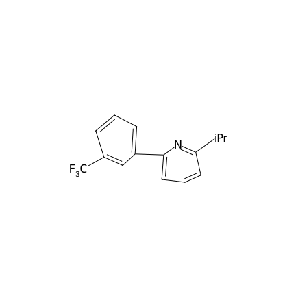 CC(C)c1cccc(-c2cccc(C(F)(F)F)c2)n1